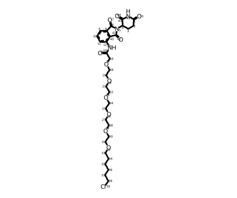 O=C1CCC(N2C(=O)c3cccc(NC(=O)COCCOCCOCCOCCOCCOCCCCCCCl)c3C2=O)C(=O)N1